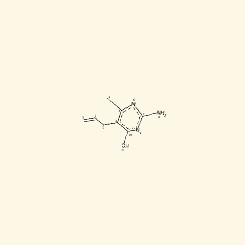 C=CCc1c(C)nc(N)nc1O